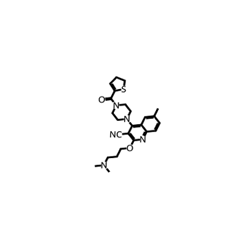 Cc1ccc2nc(OCCCN(C)C)c(C#N)c(N3CCN(C(=O)C4=CCCS4)CC3)c2c1